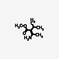 COC(=O)/C(=C(/C)N)C(C)C